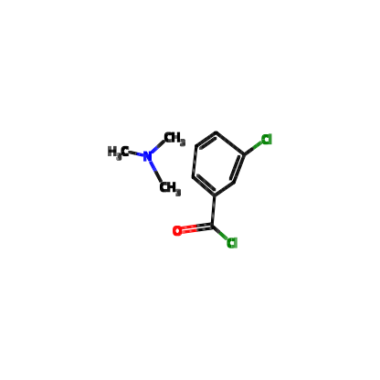 CN(C)C.O=C(Cl)c1cccc(Cl)c1